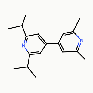 Cc1cc(-c2cc(C(C)C)nc(C(C)C)c2)cc(C)n1